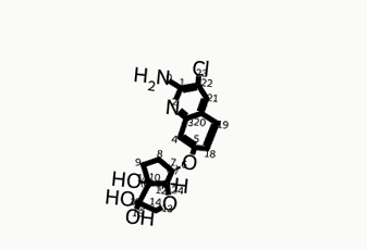 Nc1nc2cc(O[C@H]3CC[C@@]4(O)[C@@H]3OCC4(O)O)ccc2cc1Cl